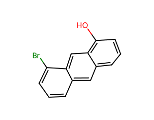 Oc1cccc2cc3cccc(Br)c3cc12